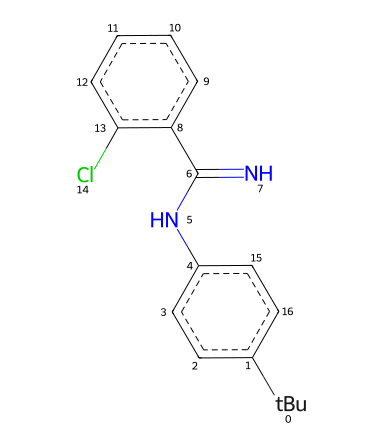 CC(C)(C)c1ccc(NC(=N)c2ccccc2Cl)cc1